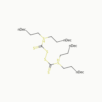 CCCCCCCCCCCC[SH](CCCCCCCCCCCC)C(=S)SSC(=S)[SH](CCCCCCCCCCCC)CCCCCCCCCCCC